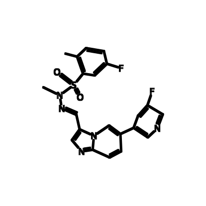 Cc1ccc(F)cc1S(=O)(=O)N(C)N=Cc1cnc2ccc(-c3cncc(F)c3)cn12